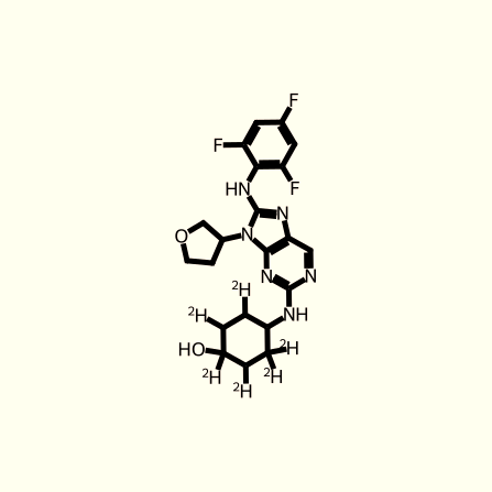 [2H]C1C(Nc2ncc3nc(Nc4c(F)cc(F)cc4F)n(C4CCOC4)c3n2)C([2H])([2H])C([2H])C([2H])(O)C1[2H]